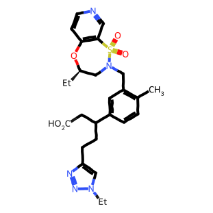 CC[C@@H]1CN(Cc2cc(C(CCc3cn(CC)nn3)CC(=O)O)ccc2C)S(=O)(=O)c2cnccc2O1